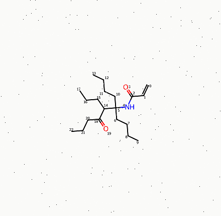 C=CC(=O)NC(CCCC)(CCCC)C(CCC)C(=O)CCC